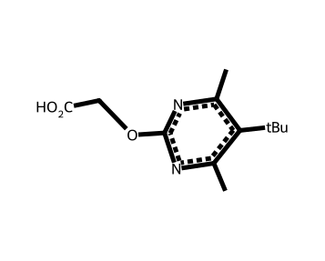 Cc1nc(OCC(=O)O)nc(C)c1C(C)(C)C